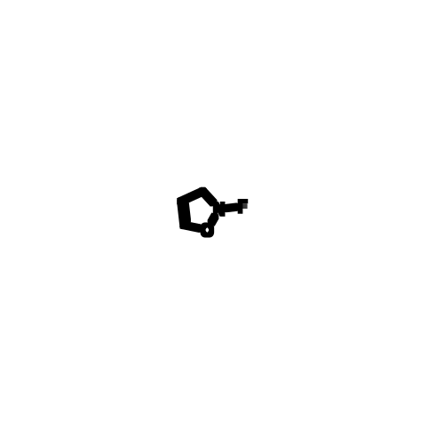 FN1CC=CO1